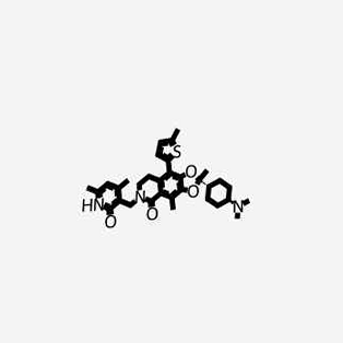 Cc1cc(C)c(CN2CCc3c(c(C)c4c(c3-c3ccc(C)s3)OC(C)([C@H]3CC[C@H](N(C)C)CC3)O4)C2=O)c(=O)[nH]1